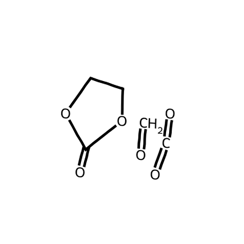 C=O.O=C1OCCO1.O=C=O